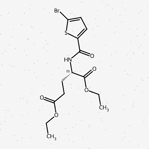 CCOC(=O)CC[C@H](NC(=O)c1ccc(Br)s1)C(=O)OCC